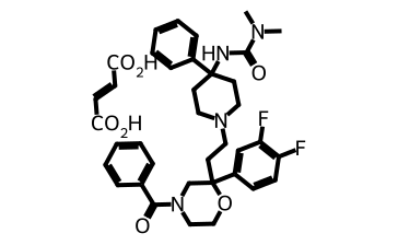 CN(C)C(=O)NC1(c2ccccc2)CCN(CCC2(c3ccc(F)c(F)c3)CN(C(=O)c3ccccc3)CCO2)CC1.O=C(O)C=CC(=O)O